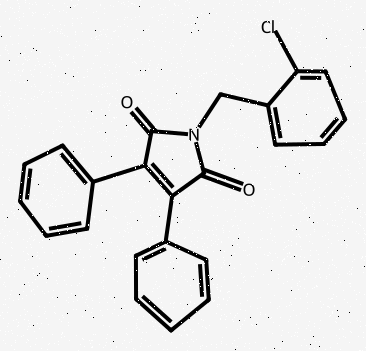 O=C1C(c2ccccc2)=C(c2ccccc2)C(=O)N1Cc1ccccc1Cl